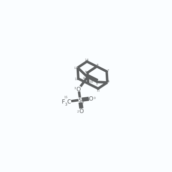 O=S(=O)(OC1=CC2CC3CC(C2)CC1C3)C(F)(F)F